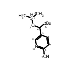 C[SiH](C)OC(c1ccc(C#N)nc1)C(C)(C)C